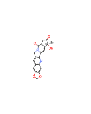 CC[C@@]1(O)C(=O)Cc2c1cc1n(c2=O)Cc2cc3cc4c(cc3nc2-1)OCO4